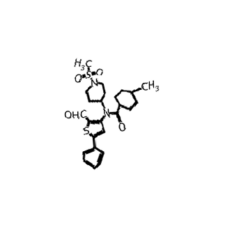 CC1CCC(C(=O)N(c2cc(-c3ccccc3)sc2C=O)C2CCN(S(C)(=O)=O)CC2)CC1